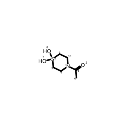 CC(=O)N1CCS(O)(O)CC1